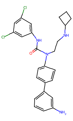 Nc1cccc(-c2ccc(N(CCNC3CCC3)C(=O)Nc3cc(Cl)cc(Cl)c3)cc2)c1